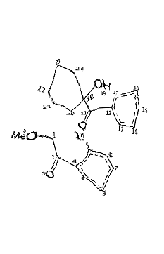 COCC(=O)c1ccccc1.O=C(c1ccccc1)C1(O)CCCCC1